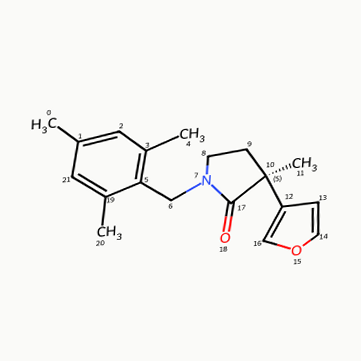 Cc1cc(C)c(CN2CC[C@@](C)(c3ccoc3)C2=O)c(C)c1